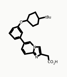 CC(C)(C)C1CCC(Oc2cccc(-c3ccc4nc(CC(=O)O)cn4c3)c2)CC1